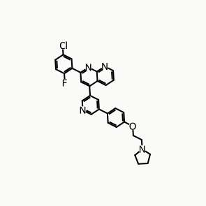 Fc1ccc(Cl)cc1-c1cc(-c2cncc(-c3ccc(OCCN4CCCC4)cc3)c2)c2cccnc2n1